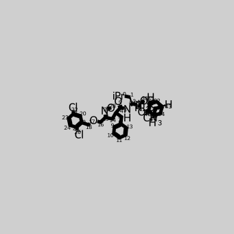 CC(C)C[C@H](NC(=O)C1(Cc2ccccc2)CC(COCc2cc(Cl)ccc2Cl)=NO1)B1O[C@@H]2C[C@@H]3C[C@@H](C3(C)C)[C@]2(C)O1